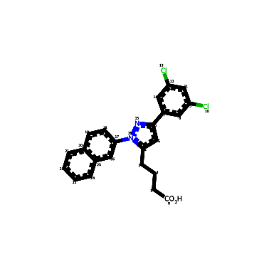 O=C(O)CCCc1cc(-c2cc(Cl)cc(Cl)c2)nn1-c1ccc2ccccc2c1